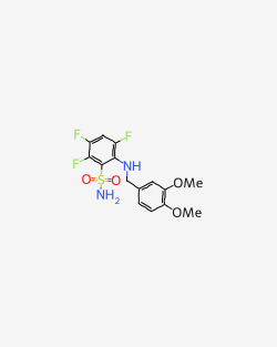 COc1ccc(CNc2c(F)cc(F)c(F)c2S(N)(=O)=O)cc1OC